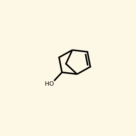 OC1CC2C=CC1C2